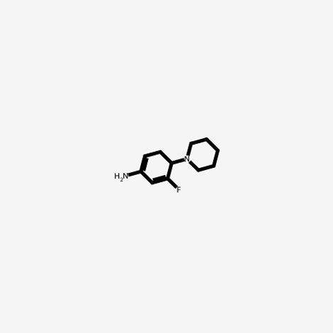 NC1=CCC(N2CCCCC2)C(F)=C1